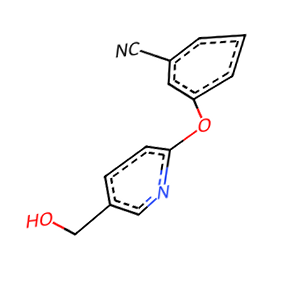 N#Cc1cccc(Oc2ccc(CO)cn2)c1